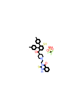 Cc1ccc(-c2c(S)ccc(C(=O)C3CCN(CCn4c(=S)[nH]c5ccccc5c4=O)CC3)c2-c2ccc(C)cc2)cc1.O=S(=O)(O)C(F)(F)F